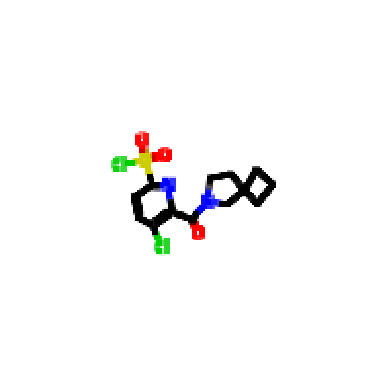 O=C(c1nc(S(=O)(=O)Cl)ccc1Cl)N1CCC2(CCC2)C1